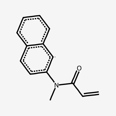 C=CC(=O)N(C)c1[c]c2ccccc2cc1